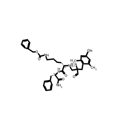 Cc1cc(O)cc(C)c1CC(N)(C=O)CN[C@@H](CCCCNC(=O)OCc1ccccc1)C(=O)N[C@@H](Cc1ccccc1)C(N)=O